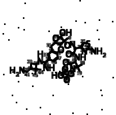 CC(ON=C(C(=O)NC1C(=O)N(OS(=O)(=O)O)C1(C)C)c1csc(N)n1)(C(=O)O)C1CCc2cc(C(=N)N[C@@H]3C[C@H](CN)C3(C)C)ccc2O1